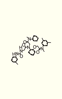 Cc1cccc(NC(=O)NCC(=O)N(CC(=O)N(C)c2ccccc2)c2ccccc2OCC(=O)N(C)c2cc(C)cc(C)c2)c1